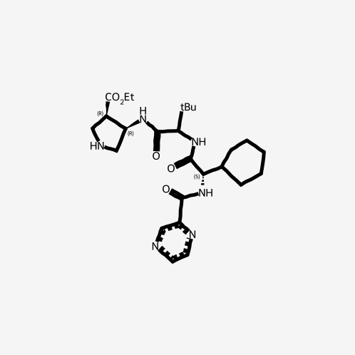 CCOC(=O)[C@@H]1CNC[C@@H]1NC(=O)C(NC(=O)[C@@H](NC(=O)c1cnccn1)C1CCCCC1)C(C)(C)C